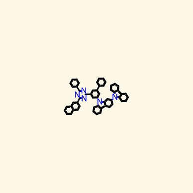 c1ccc(-c2cc(-c3nc(-c4ccccc4)nc(-c4ccc5ccccc5c4)n3)cc(-n3c4ccccc4c4ccc(-n5c6ccccc6c6ccccc65)cc43)c2)cc1